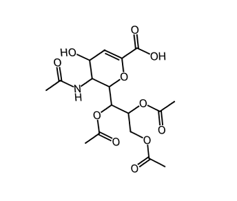 CC(=O)NC1C(O)C=C(C(=O)O)OC1C(OC(C)=O)C(COC(C)=O)OC(C)=O